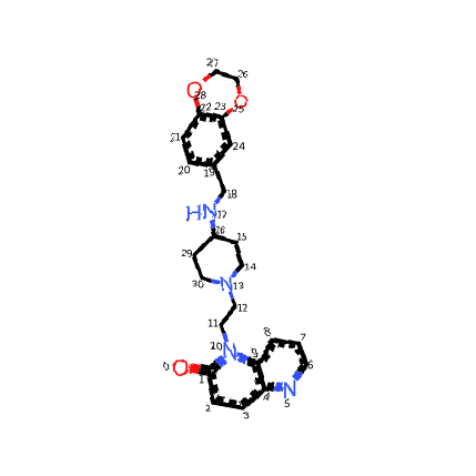 O=c1ccc2ncccc2n1CCN1CCC(NCc2ccc3c(c2)OCCO3)CC1